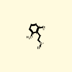 CCOCCc1c(C)cccc1CC